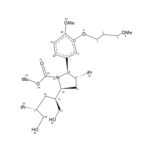 COCCCOc1cc([C@H]2[C@H](C(C)C)C[C@@H]([C@@H](CO)C[C@H](CO)C(C)C)N2C(=O)OC(C)(C)C)ccc1OC